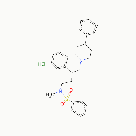 CN(CC[C@@H](CN1CCC(c2ccccc2)CC1)c1ccccc1)S(=O)(=O)c1ccccc1.Cl